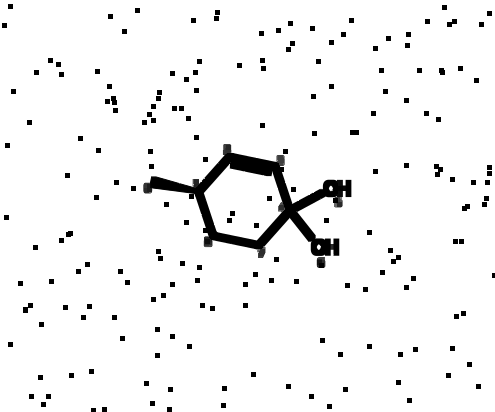 C[C@H]1C=CC(O)(O)CC1